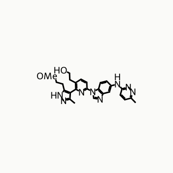 COCCc1[nH]nc(C)c1-c1nc(-n2cnc3cc(Nc4ccc(C)nn4)ccc32)ccc1CCO